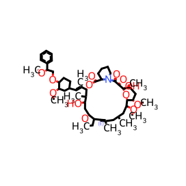 CCC1/C=C(\C)CC(C)CC(OC)C2OC(O)(C(=O)C(=O)N3CCCCC3C(=O)OC(C(C)=CC3CCC(OCC(OC)c4ccccc4)C(OC)C3)C(C)C(O)CC1=O)C(C)CC2OC